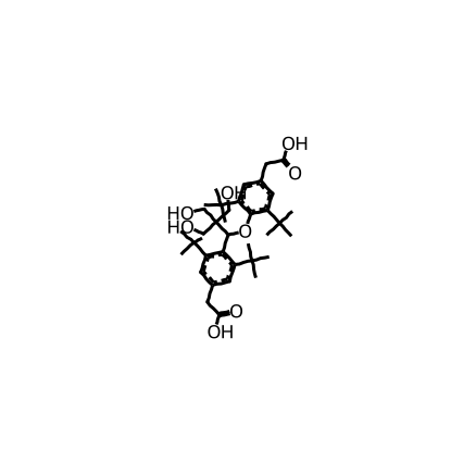 CC(C)(C)c1cc(CC(=O)O)cc(C(C)(C)C)c1OC(c1c(C(C)(C)C)cc(CC(=O)O)cc1C(C)(C)C)C(CO)(CO)CO